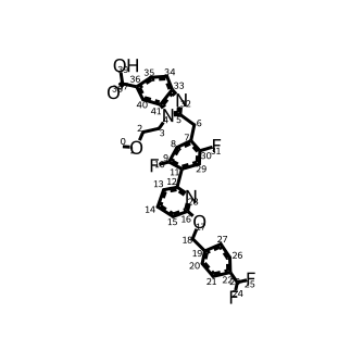 COCCn1c(Cc2cc(F)c(-c3cccc(OCc4ccc(C(F)F)cc4)n3)cc2F)nc2ccc(C(=O)O)cc21